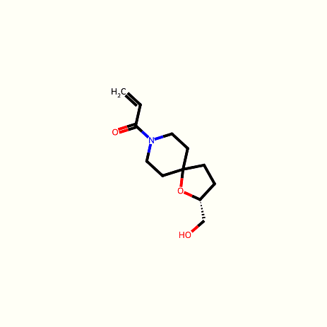 C=CC(=O)N1CCC2(CC[C@H](CO)O2)CC1